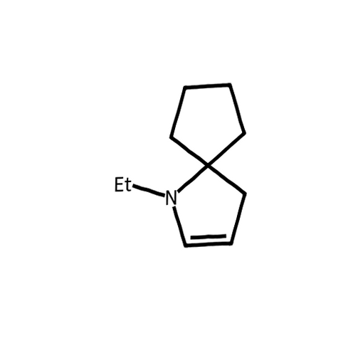 CCN1C=CCC12CCCC2